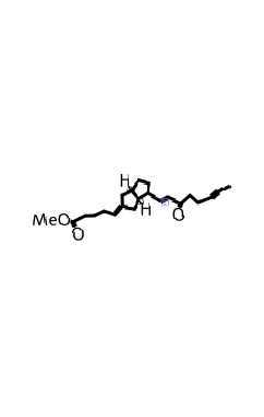 CC#CCCC(=O)/C=C/C1CC[C@@H]2CC(=CCCCC(=O)OC)C[C@H]12